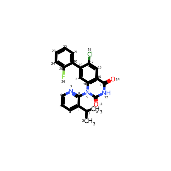 CC(C)c1cccnc1-n1c(=O)[nH]c(=O)c2cc(Cl)c(-c3ccccc3F)cc21